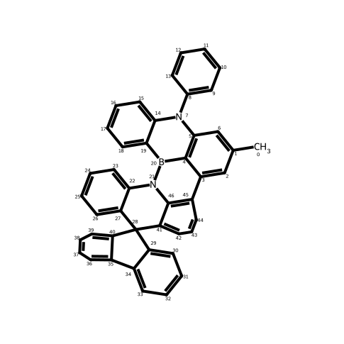 Cc1cc2c3c(c1)N(c1ccccc1)c1ccccc1B3N1c3ccccc3C3(c4ccccc4-c4ccccc43)c3cccc-2c31